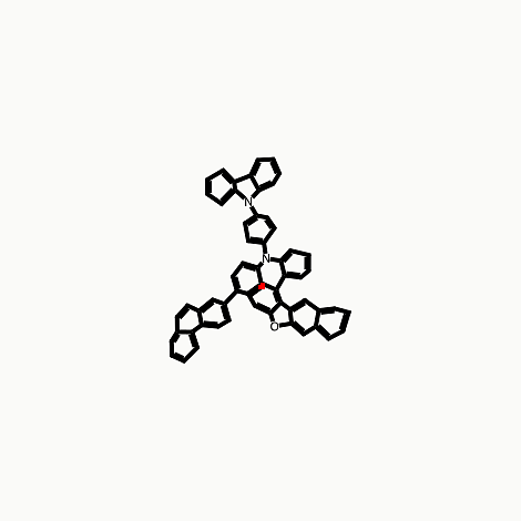 c1ccc(N(c2ccc(-c3ccc4c(ccc5ccccc54)c3)cc2)c2ccc(-n3c4ccccc4c4ccccc43)cc2)c(-c2cccc3oc4cc5ccccc5cc4c23)c1